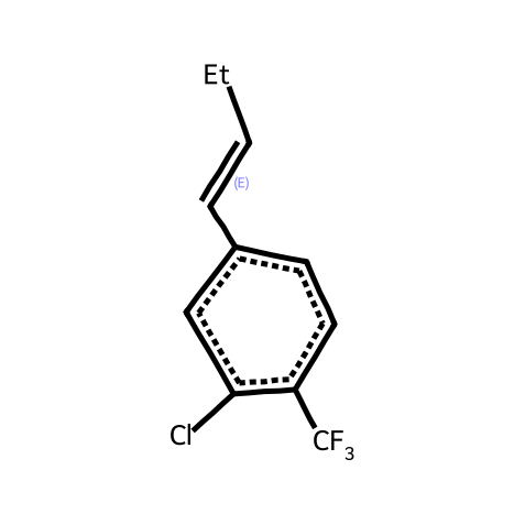 CC/C=C/c1ccc(C(F)(F)F)c(Cl)c1